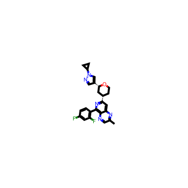 Cc1cnc2c(-c3ccc(F)cc3F)nc([C@H]3CCO[C@@H](c4cnn(C5CC5)c4)C3)cc2n1